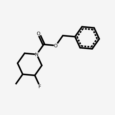 CC1CCN(C(=O)OCc2ccccc2)CC1F